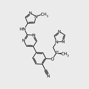 C[C@H](Cn1cncn1)Oc1cc(-c2cnc(Nc3cnn(C)c3)nc2)ccc1C#N